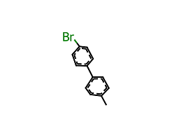 Cc1ccc(-c2ccc(Br)cc2)cc1